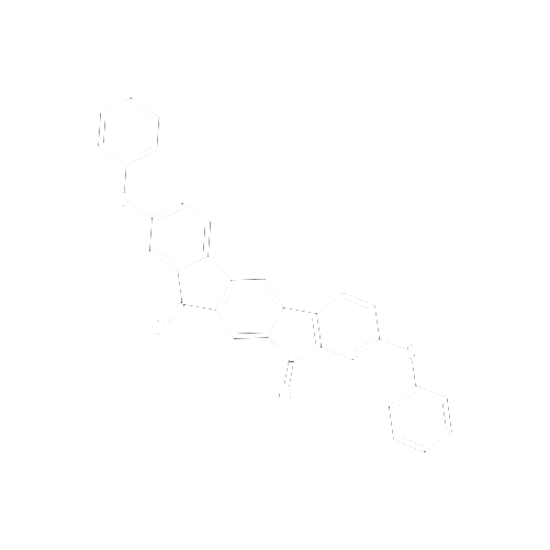 O=c1c2cc(Sc3ccccc3)ccc2c2cc3c(cc12)c(=O)c1cc(Sc2ccccc2)ccc13